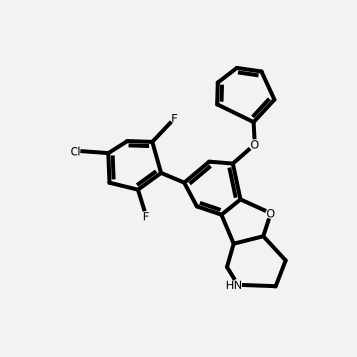 Fc1cc(Cl)cc(F)c1-c1cc(Oc2ccccc2)c2c(c1)C1CNCCC1O2